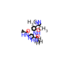 [2H]C([2H])([2H])NC(=O)c1cnc(NC(=O)C2CC2)cc1Nc1cccc(-c2ccnn2C)c1OC